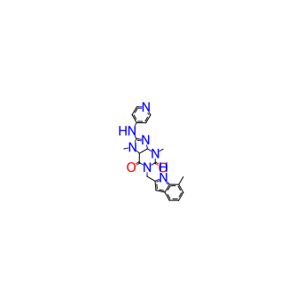 Cc1cccc2cc(CN3C(=O)C4C(N=C(Nc5ccncc5)N4C)N(C)C3=O)[nH]c12